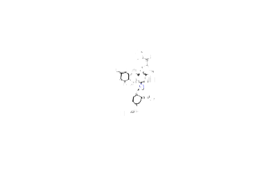 COC(=O)[C@@H](C)CCn1c(=O)[nH]/c(=N/Cc2ccc(OC)cc2OC)n(Cc2ccc(Cl)cc2)c1=O